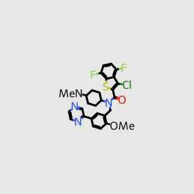 CNC1CCC(N(Cc2cc(-c3cnccn3)ccc2OC)C(=O)c2sc3c(F)ccc(F)c3c2Cl)CC1